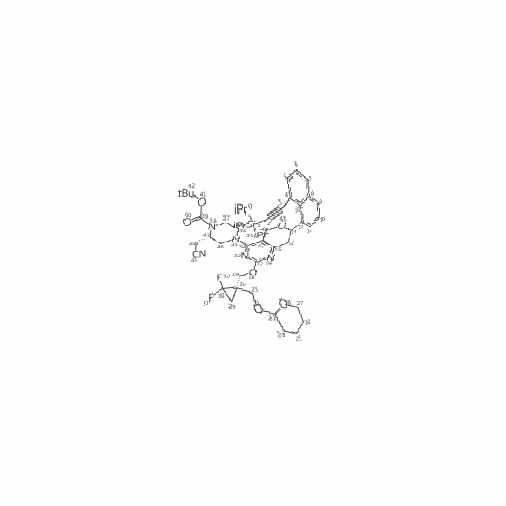 CC(C)[Si](C#Cc1cccc2cccc(C3Cc4nc(OC[C@]5(COC6CCCCO6)CC5(F)F)nc(N5CCN(C(=O)OC(C)(C)C)[C@@H](CC#N)C5)c4CO3)c12)(C(C)C)C(C)C